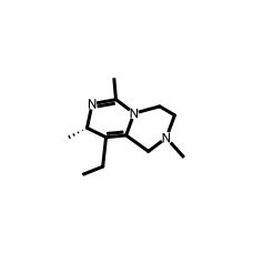 CCC1=C2CN(C)CCN2C(C)=N[C@H]1C